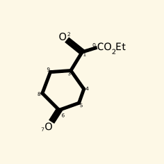 CCOC(=O)C(=O)C1CCC(=O)CC1